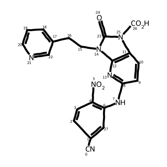 N#Cc1ccc([N+](=O)[O-])c(Nc2ccc3c(n2)n(CCc2cccnc2)c(=O)n3C(=O)O)c1